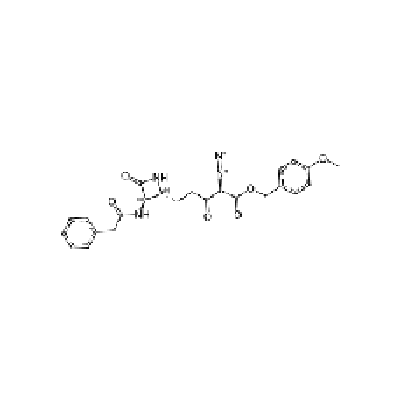 COc1ccc(COC(=O)C(=[N+]=[N-])C(=O)CC[C@H]2NC(=O)[C@@H]2NC(=O)Cc2ccccc2)cc1